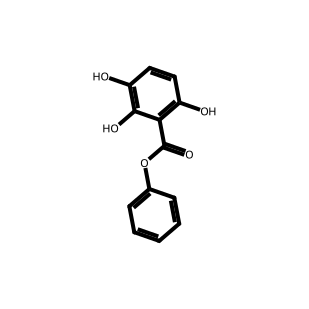 O=C(Oc1ccccc1)c1c(O)ccc(O)c1O